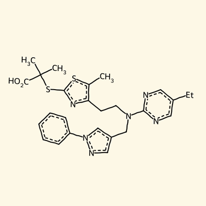 CCc1cnc(N(CCc2nc(SC(C)(C)C(=O)O)sc2C)Cc2cnn(-c3ccccc3)c2)nc1